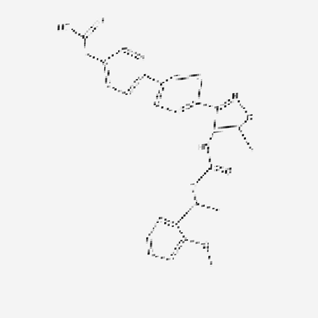 COc1ccccc1C(C)OC(=O)Nc1c(-c2ccc(-c3ccc(CC(=O)O)cc3)cc2)noc1C